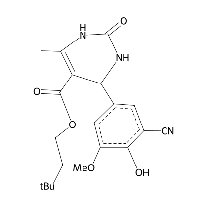 COc1cc(C2NC(=O)NC(C)=C2C(=O)OCCC(C)(C)C)cc(C#N)c1O